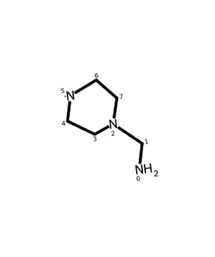 NCN1CC[N]CC1